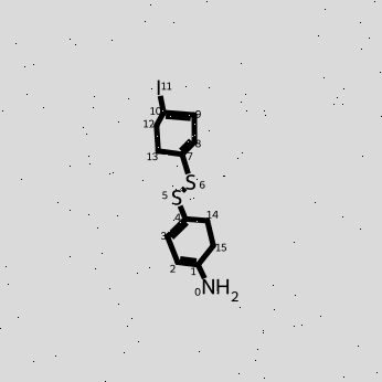 NC1=CC=C(SSC2=CC=C(I)CC2)CC1